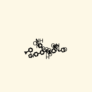 CNC(=O)c1ccc(Oc2cc(-c3ccc(N4CCC[C@@H]4c4ccccc4C4CC4)cc3)ccc2C(=O)NS(=O)(=O)c2ccc(NCC3CCOCC3)c([N+](=O)[O-])c2)cn1